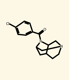 O=C(c1ccc(Cl)cc1)N1C2CC3CCN(C2)CC31